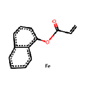 C=CC(=O)Oc1cccc2ccccc12.[Fe]